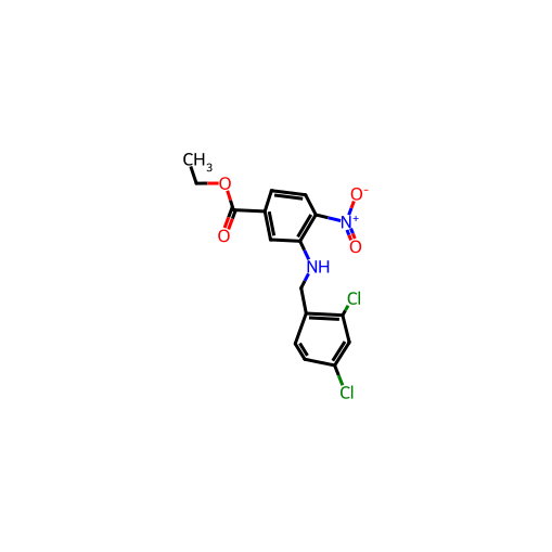 CCOC(=O)c1ccc([N+](=O)[O-])c(NCc2ccc(Cl)cc2Cl)c1